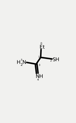 CCC(S)C(=N)N